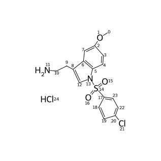 COc1ccc2c(c1)c(CCN)cn2S(=O)(=O)c1ccc(Cl)cc1.Cl